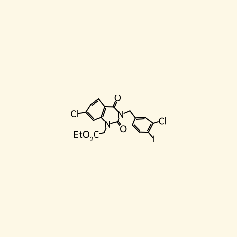 CCOC(=O)Cn1c(=O)n(Cc2ccc(I)c(Cl)c2)c(=O)c2ccc(Cl)cc21